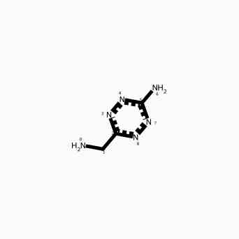 NCc1nnc(N)nn1